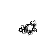 Cc1cccc(C)c1-c1cc2nc(n1)NS(=O)(=O)c1cncc(c1)C(=O)N[C@H](CC(C)C)CO2